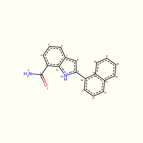 NC(=O)c1cccc2cc(-c3cccc4ccccc34)[nH]c12